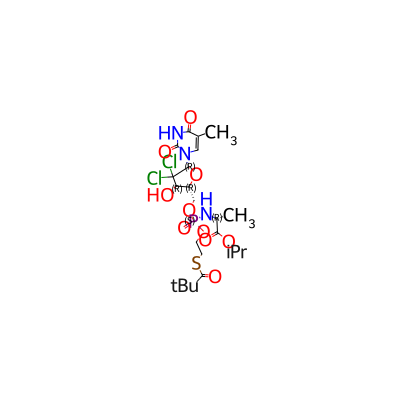 Cc1cn([C@@H]2O[C@H](CO[P@@](=O)(N[C@H](C)C(=O)OC(C)C)OCCSC(=O)C(C)(C)C)[C@@H](O)C2(Cl)Cl)c(=O)[nH]c1=O